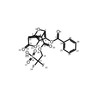 O=C(Oc1c2c3oc1c(C(=O)OCC(F)(F)S(=O)(=O)O)c3C(=O)O2)c1ccccc1